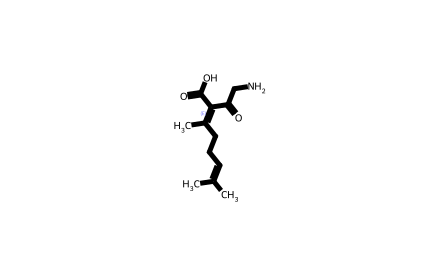 CC(C)=CCC/C(C)=C(/C(=O)O)C(=O)CN